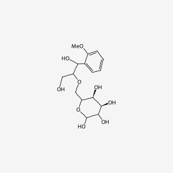 COc1ccccc1C(O)C(CO)OCC1OC(O)C(O)[C@H](O)[C@@H]1O